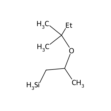 CCC(C)(C)OC(C)C[SiH3]